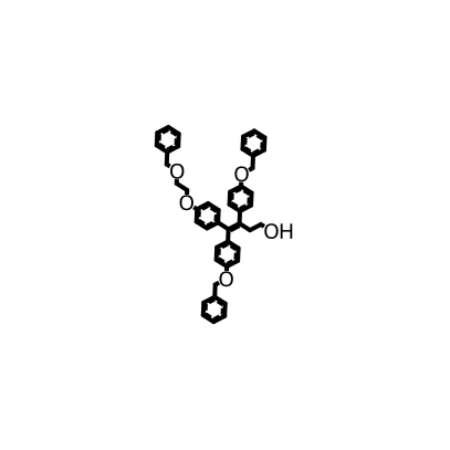 OCCC(=C(c1ccc(OCCOCc2ccccc2)cc1)c1ccc(OCc2ccccc2)cc1)c1ccc(OCc2ccccc2)cc1